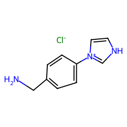 NCc1ccc(-[n+]2cc[nH]c2)cc1.[Cl-]